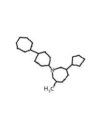 CC1CCC(C2CCCC2)CN(C2CCC(C3CCCCCC3)CC2)C1